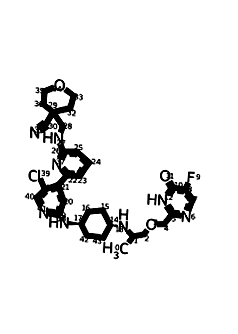 CC(COCc1ncc(F)c(=O)[nH]1)N[C@H]1CC[C@H](Nc2cc(-c3cccc(NCC4(C#N)CCOCC4)n3)c(Cl)cn2)CC1